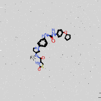 CN(C(=O)C1CSC(=O)N1)C1CCN(c2ccc(NC(=O)Nc3ccc(OC4CCCC4)cc3)cc2)C1